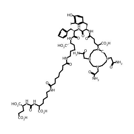 NC(=O)CN1CCN(CC(N)=O)CCN(C(CCC(=O)N[C@H](Cc2ccc(O)c(I)c2)C(=O)N[C@H](Cc2ccccc2)C(=O)N[C@H](CCCCNC(=O)CCCCCCC(=O)NCCCCC(NC(=O)N[C@@H](CCC(=O)O)C(=O)O)C(=O)O)C(=O)O)C(=O)O)CCN(CC(N)=O)CC1